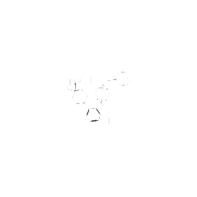 CCC1(CC)CCC(c2ccccc2N2CCN(CC3CCOCC3)CC2)CC1.Cl